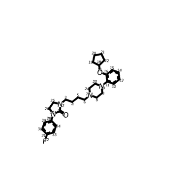 O=C1N(CCCCN2CCN(c3ccccc3OC3CCCC3)CC2)CCN1c1ccc(F)cc1